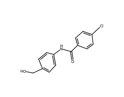 O=C(Nc1ccc(CO)cc1)c1ccc(Cl)cc1